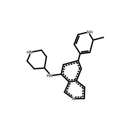 CC1C=C(c2cc(NC3CCNCC3)c3cnccc3c2)C=CN1